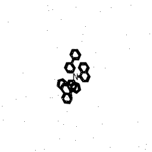 c1ccc(-c2cccc(N(c3ccc4c(c3)-c3c5cccc3-c3cccc-4c3-c3ccccc3-5)c3cccc4ccccc34)c2)cc1